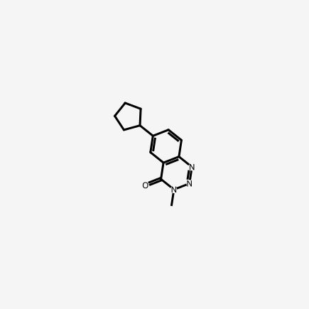 Cn1nnc2ccc(C3CCCC3)cc2c1=O